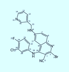 N#Cc1c(Br)nc2ccc(NCc3cccnc3)cc2c1Nc1ccc(F)c(Cl)c1